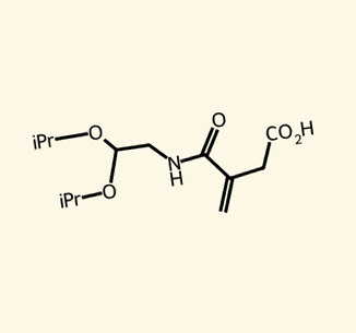 C=C(CC(=O)O)C(=O)NCC(OC(C)C)OC(C)C